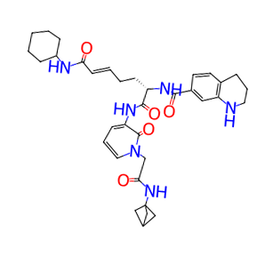 O=C(/C=C/CC[C@H](NC(=O)c1ccc2c(c1)NCCC2)C(=O)Nc1cccn(CC(=O)NC23CC(C2)C3)c1=O)NC1CCCCC1